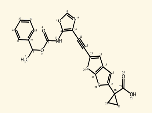 CC(OC(=O)Nc1ocnc1C#Cc1cc2cc(C3(C(=O)O)CC3)sc2s1)c1ccccc1